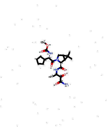 CCCC(NC(=O)[C@@H]1C2C(CN1C(=O)[C@@H](NC(=O)OC(C)(C)C)C1CCCC1)C2(C)C)C(=O)C(N)=O